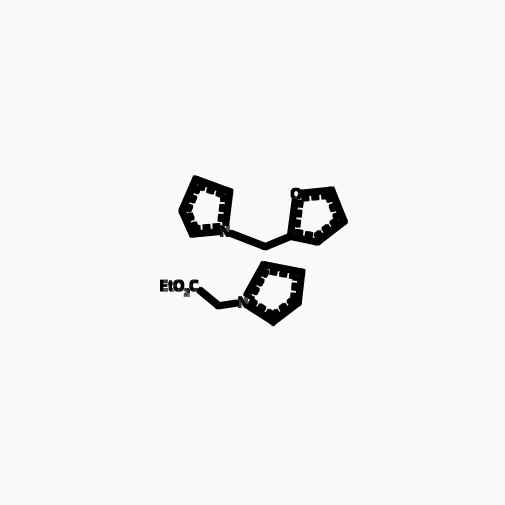 CCOC(=O)Cn1[c]ccc1.c1coc(Cn2cccc2)c1